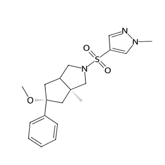 CO[C@]1(c2ccccc2)CC2CN(S(=O)(=O)c3cnn(C)c3)C[C@@]2(C)C1